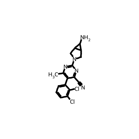 Cc1nc(N2CC3C(N)C3C2)nc(C#N)c1-c1cccc(Cl)c1Cl